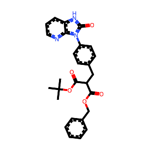 CC(C)(C)OC(=O)C(Cc1ccc(-n2c(=O)[nH]c3cccnc32)cc1)C(=O)OCc1ccccc1